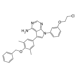 Cc1cc(-c2cn(-c3cccc(OCCCl)c3)c3ncnc(N)c23)cc(C)c1OCc1ccccc1